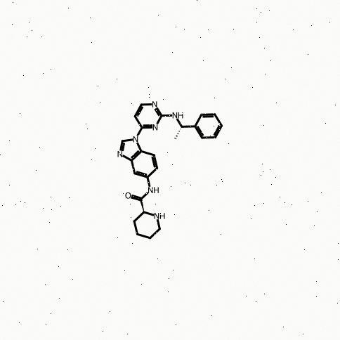 C[C@H](Nc1nccc(-n2cnc3cc(NC(=O)[C@@H]4CCCCN4)ccc32)n1)c1ccccc1